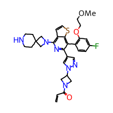 C=CC(=O)N1CC(n2cc(-c3nc(N4CC5(CCNCC5)C4)c4ccsc4c3-c3ccc(F)cc3OCCOC)cn2)C1